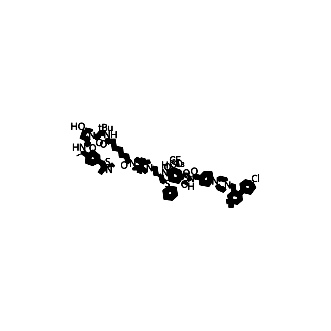 Cc1ncsc1-c1ccc([C@H](C)NC(=O)C2CC(O)CN2C(=O)[C@@H](NC(=O)CCCCCC(=O)N2CC3(C)CN(CC[C@H](CSc4ccccc4)Nc4ccc(S(=O)(=O)NC(=O)c5ccc(N6CCN(CC7=C(c8ccc(Cl)cc8)CCC(C)(C)C7)CC6)cc5)cc4S(=O)(=O)C(F)(F)F)CC3(C)C2)C(C)(C)C)cc1